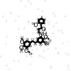 COc1ccccc1C(=O)/C=C\Nc1cc(CCc2cc(OC)c(OC)c(OC)c2)cc(Br)c1OC